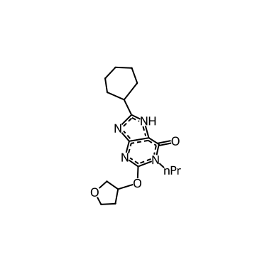 CCCn1c(OC2CCOC2)nc2nc(C3CCCCC3)[nH]c2c1=O